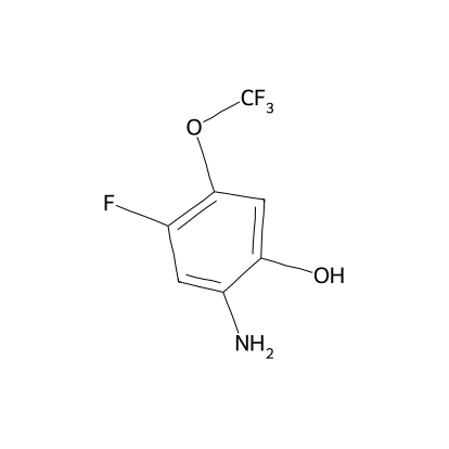 Nc1cc(F)c(OC(F)(F)F)cc1O